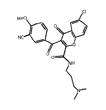 COc1ccc(C(=O)c2c(C(=O)NCCCN(C)C)oc3ccc(Cl)cc3c2=O)cc1C#N